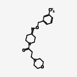 O=C(CCN1CCOCC1)N1CCC(=NOCc2cccc(C(F)(F)F)c2)CC1